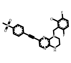 CS(=O)(=O)c1ccc(C#Cc2cnc3c(n2)N(Cc2c(F)ccc(F)c2Cl)CCN3)cc1